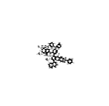 Cc1cc(-c2ccc(N(c3ccccc3)c3ccccc3)cc2Nc2ccc3c(c2)C(C)(C)CCC3(C)C)c2c3c1c1c4ccccc4ccc1n3-c1cc3nc(-c4ccccc4)oc3cc1B2